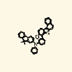 CC1(C)c2ccccc2-c2ccc(N(c3ccccc3)c3cccc4c3oc3ccc5c(sc6ccc7ccccc7c65)c34)cc21